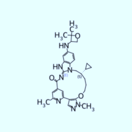 Cc1cc2cc(n1)-c1cnn(C)c1OCCC[C@@H](C1CC1)CN1/C(=N/C2=O)Nc2cc(NC3COC3(C)C)ccc21